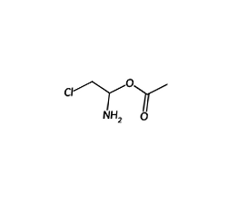 CC(=O)OC(N)CCl